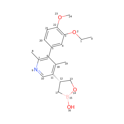 CCOc1cc(-c2c(C)ncc([C@@H]3COB(O)C3)c2C)ccc1OC